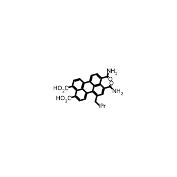 CC(C)Cc1cc(C(N)=O)c2c(C(N)=O)ccc3c4ccc(C(=O)O)c5c(C(=O)O)ccc(c1c23)c54